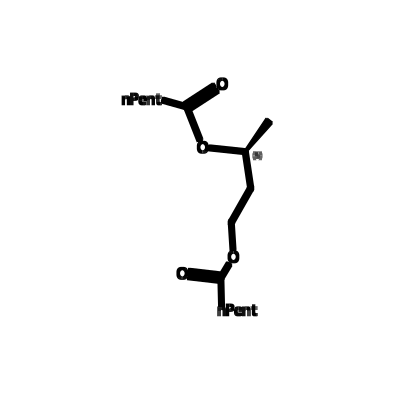 CCCCCC(=O)OCC[C@H](C)OC(=O)CCCCC